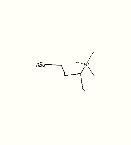 [CH2]CCCCCC(C)[N+](C)(C)C